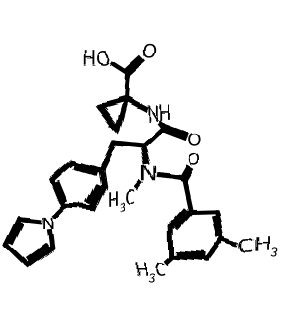 Cc1cc(C)cc(C(=O)N(C)C(Cc2ccc(-n3cccc3)cc2)C(=O)NC2(C(=O)O)CC2)c1